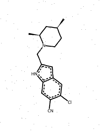 C[C@H]1CCN(Cc2cc3cc(Cl)c(C#N)cc3[nH]2)[C@@H](C)C1